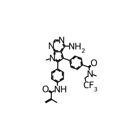 C=C(C)C(=O)Nc1ccc(-c2c(-c3ccc(C(=O)N(C)CC(F)(F)F)cc3)c3c(N)ncnc3n2C)cc1